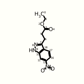 CCOC(=O)CCc1n[nH]c2cc([N+](=O)[O-])ccc12